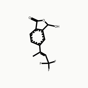 CC(=CC(F)(F)F)c1ccc2c(c1)C(O)OC2=O